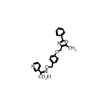 CCOC(=O)/C(=N/OCc1ccc(OCc2nc(-c3ccccc3)oc2C)cc1)c1cccnc1